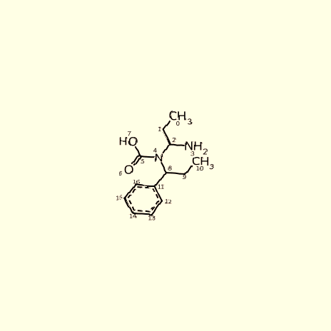 CCC(N)N(C(=O)O)C(CC)c1ccccc1